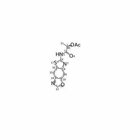 CC(=O)O[C@H](C)C(=O)Nc1nc2cc3ocnc3cc2s1